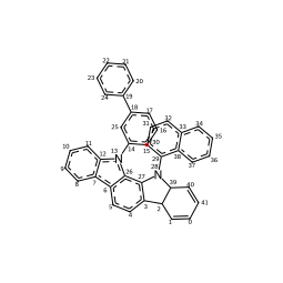 C1=CC2c3ccc4c5ccccc5n(-c5cccc(-c6ccccc6)c5)c4c3N(c3cccc4ccccc34)C2C=C1